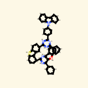 c1ccc(-c2nc(-c3ccc(-n4c5ccccc5c5ccccc54)cc3)nc(-c3ccc4sc5cccc(-c6nc(-c7ccccc7)c7oc8ccccc8c7n6)c5c4c3)n2)cc1